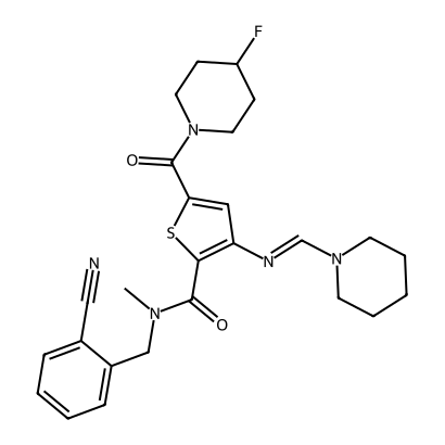 CN(Cc1ccccc1C#N)C(=O)c1sc(C(=O)N2CCC(F)CC2)cc1/N=C/N1CCCCC1